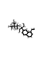 C=Cc1cccc2ccc(C(CC)(CC)OC(C)(C)C(O)(C(F)(F)F)C(F)(F)F)cc12